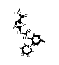 CNC(=O)c1cnc(NC(=O)Nc2ccc(C)cc2N2CCCCC2)s1